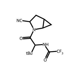 CC(C)(C)C(NC(=O)C(F)(F)F)C(=O)N1C(C#N)CC2CC21